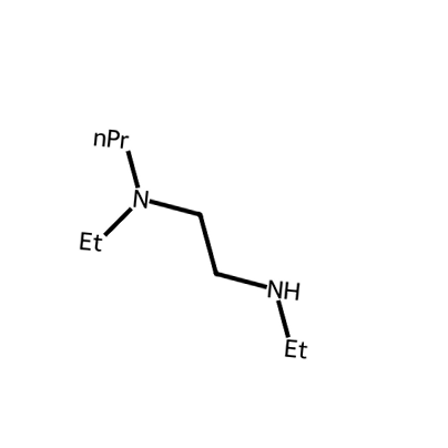 [CH2]CCN(CC)CCNCC